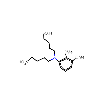 COc1cccc(N(CCCCS(=O)(=O)O)CCCCS(=O)(=O)O)c1OC